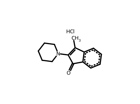 CC1=C(N2CCCCC2)C(=O)c2ccccc21.Cl